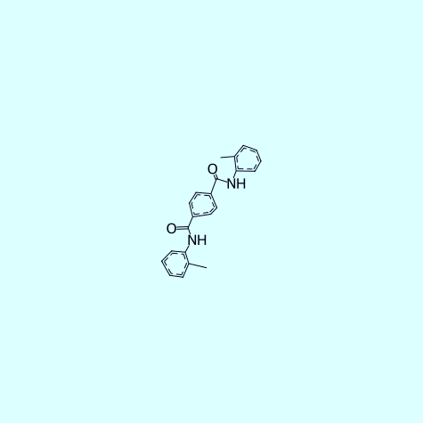 Cc1ccccc1NC(=O)c1ccc(C(=O)Nc2ccccc2C)cc1